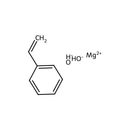 C=Cc1ccccc1.[Mg+2].[OH-].[OH-]